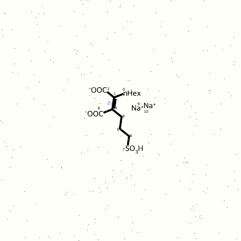 CCCCCC/C(C(=O)[O-])=C(\CCCS(=O)(=O)O)C(=O)[O-].[Na+].[Na+]